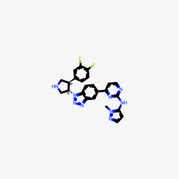 Cn1nccc1Nc1nccc(-c2ccc3c(c2)nnn3[C@@H]2CNC[C@H]2c2ccc(F)c(F)c2)n1